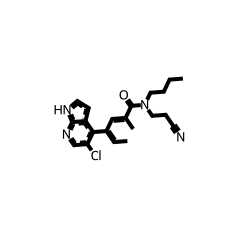 C/C=C(\C=C(/C)C(=O)N(CCC#N)CCCC)c1c(Cl)cnc2[nH]ccc12